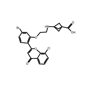 O=C(O)C12CC(NCCOc3cc(Br)ccc3-c3cc(=O)c4cccc(Cl)c4o3)(C1)C2